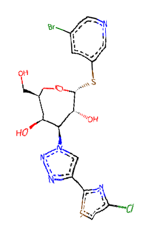 OC[C@H]1O[C@H](Sc2cncc(Br)c2)[C@H](O)[C@@H](n2cc(-c3nc(Cl)cs3)nn2)[C@H]1O